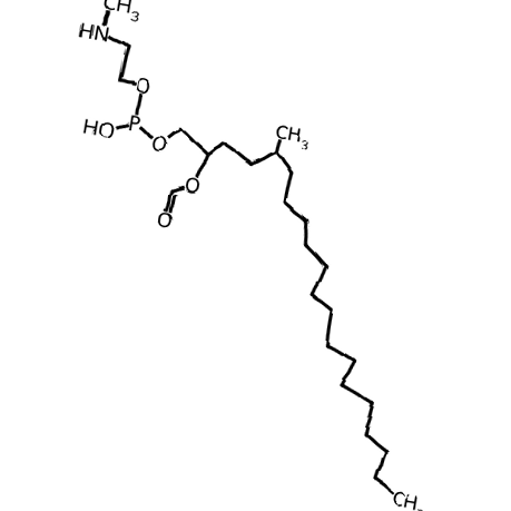 CCCCCCCCCCCCCCCC(C)CCC(COP(O)OCCNC)OC=O